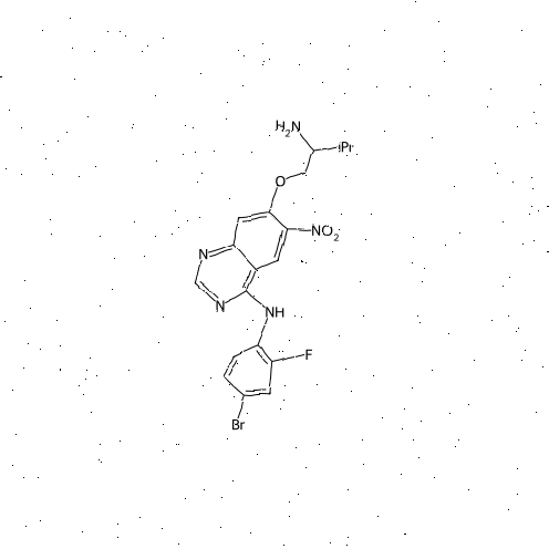 CC(C)C(N)COc1cc2ncnc(Nc3ccc(Br)cc3F)c2cc1[N+](=O)[O-]